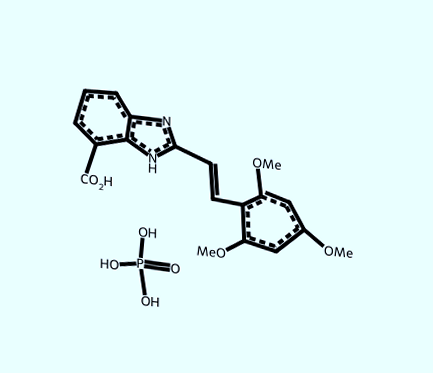 COc1cc(OC)c(C=Cc2nc3cccc(C(=O)O)c3[nH]2)c(OC)c1.O=P(O)(O)O